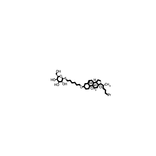 CC(C)CCC[C@@H](C)[C@H]1CC[C@H]2[C@@H]3CC=C4CC(OCCCCCCS[C@@H]5O[C@H](CO)[C@H](O)[C@H](O)[C@H]5O)CC[C@]4(C)[C@H]3CC[C@]12C